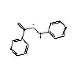 C=C(NNc1ccccc1)c1ccccc1